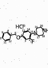 Cl.Fc1cc(OCc2ccccc2)ccc1N1CCNCC1